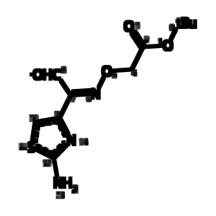 CC(C)(C)OC(=O)CO/N=C(\[C]=O)c1csc(N)n1